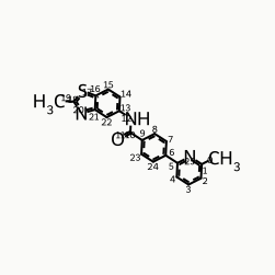 Cc1cccc(-c2ccc(C(=O)Nc3ccc4sc(C)nc4c3)cc2)n1